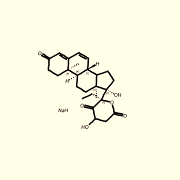 CC[C@]1([C@]2(O)CCC3[C@H]4C=CC5=CC(=O)CC[C@]5(C)[C@@H]4CC[C@@]32C)OC(=O)CC(O)C1=O.[NaH]